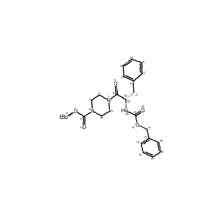 CC(C)(C)OC(=O)N1CCN(C(=O)[C@H](Cc2ccccc2)NC(=O)OCc2ccccc2)CC1